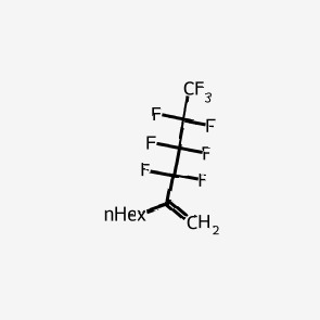 C=C(CCCCCC)C(F)(F)C(F)(F)C(F)(F)C(F)(F)F